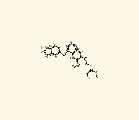 CCN(CC)CCOc1cc2ncnc(Oc3ccc4[nH]ccc4c3)c2cc1OC